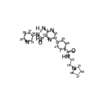 Nc1ncc(-c2ccc(C(=O)NCCN3CCCC3)cc2)nc1C(=O)Nc1cccnc1